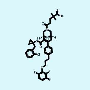 CC(C)(CCC(=O)N1C[C@H]2CC(c3ccc(CCCOc4c(F)ccc(F)c4F)cc3)=C(C(=O)NC3(Cc4ccccc4Cl)CC3)[C@@H](C1)N2)C(=O)O